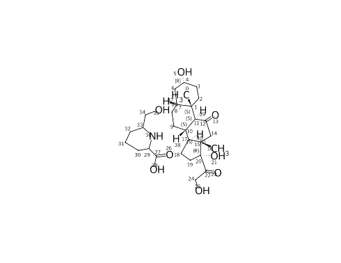 C[C@]12CC[C@@H](O)C[C@H]1CC[C@@H]1[C@@H]2C(=O)C[C@@]2(C)[C@H]1CC[C@]2(O)C(=O)CO.O=C(O)C1CCCC(CO)N1